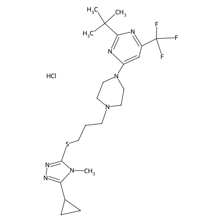 Cl.Cn1c(SCCCN2CCN(c3cc(C(F)(F)F)nc(C(C)(C)C)n3)CC2)nnc1C1CC1